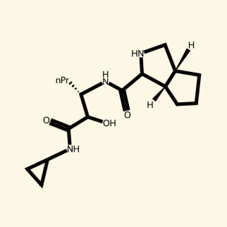 CCC[C@H](NC(=O)C1NC[C@@H]2CCC[C@H]12)C(O)C(=O)NC1CC1